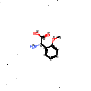 COc1ccccc1[C@H](N)C(=O)O